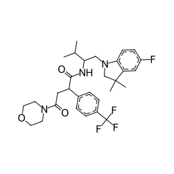 CC(C)C(CN1CC(C)(C)c2cc(F)ccc21)NC(=O)C(CC(=O)N1CCOCC1)c1ccc(C(F)(F)F)cc1